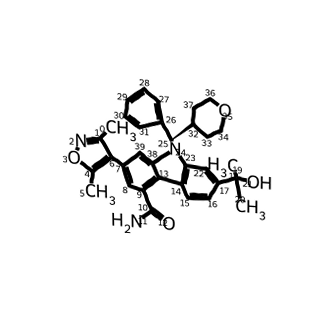 Cc1noc(C)c1-c1cc(C(N)=O)c2c3ccc(C(C)(C)O)cc3n([C@@H](c3ccccc3)C3CCOCC3)c2c1